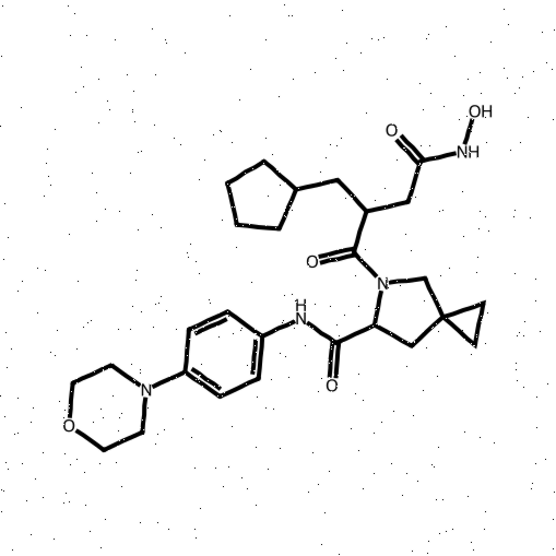 O=C(CC(CC1CCCC1)C(=O)N1CC2(CC2)CC1C(=O)Nc1ccc(N2CCOCC2)cc1)NO